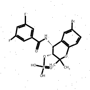 CC(=O)c1ccc2c(c1)[C@@H](NC(=O)c1cc(F)cc(F)c1)[C@@H](OP(=O)(O)O)C(C)(C)O2